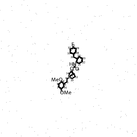 COc1ccc(OC)c(CC[N+]23CCC(CC2)C(OC(=O)Nc2ccccc2Cc2ccc(F)cc2)C3)c1